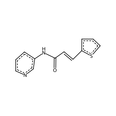 O=C(C=Cc1cccs1)Nc1cccnc1